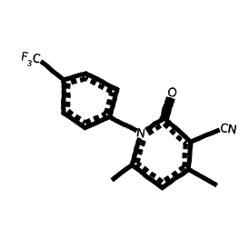 Cc1cc(C)n(-c2ccc(C(F)(F)F)cc2)c(=O)c1C#N